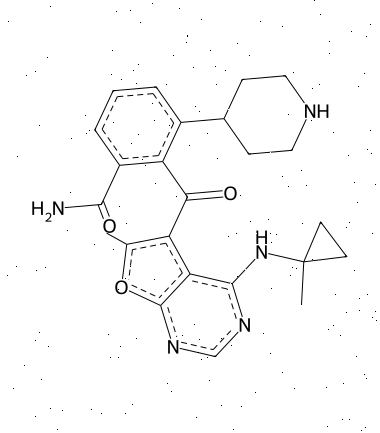 Cc1oc2ncnc(NC3(C)CC3)c2c1C(=O)c1c(C(N)=O)cccc1C1CCNCC1